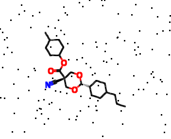 CCCC1CCC([C@H]2OC[C@@](C#N)(C(=O)OC3CCC(C)CC3)CO2)CC1